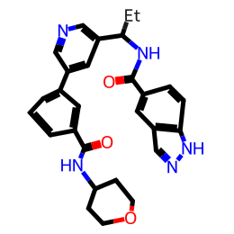 CCC(NC(=O)c1ccc2[nH]ncc2c1)c1cncc(-c2cccc(C(=O)NC3CCOCC3)c2)c1